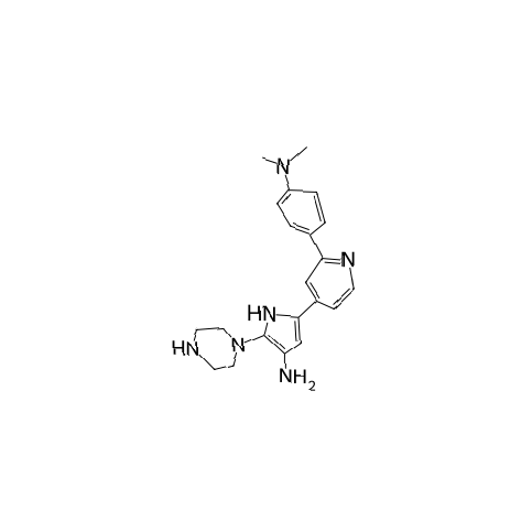 CN(C)c1ccc(-c2cc(-c3cc(N)c(N4CCNCC4)[nH]3)ccn2)cc1